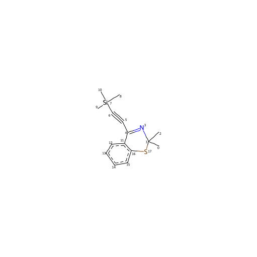 CC1(C)N=C(C#C[Si](C)(C)C)c2ccccc2S1